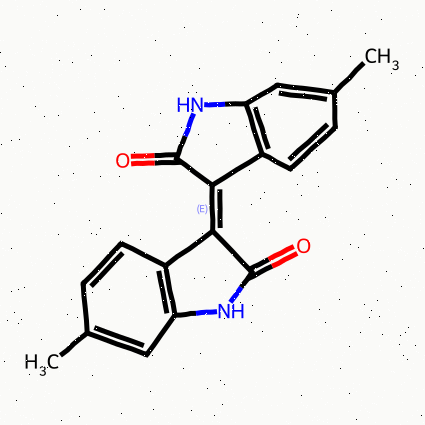 Cc1ccc2c(c1)NC(=O)/C2=C1/C(=O)Nc2cc(C)ccc21